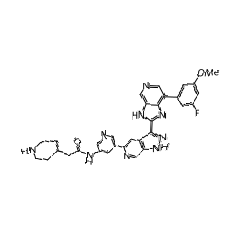 COc1cc(F)cc(-c2cncc3[nH]c(-c4n[nH]c5cnc(-c6cncc(NC(=O)CC7CCNCC7)c6)cc45)nc23)c1